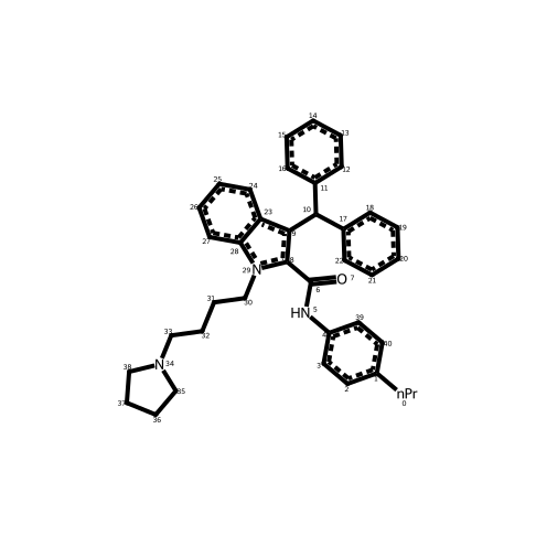 CCCc1ccc(NC(=O)c2c(C(c3ccccc3)c3ccccc3)c3ccccc3n2CCCCN2CCCC2)cc1